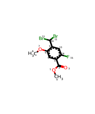 COC(=O)c1cc(OC)c(C(Br)Br)cc1F